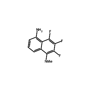 CNc1c(F)c(F)c(F)c2c(N)cccc12